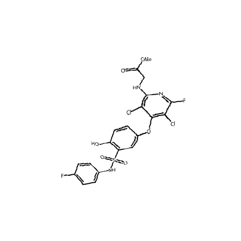 COC(=O)CNc1nc(F)c(Cl)c(Oc2ccc(O)c(S(=O)(=O)Nc3ccc(F)cc3)c2)c1Cl